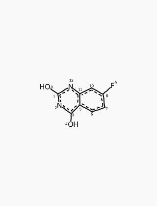 Oc1nc(O)c2ccc(F)cc2n1